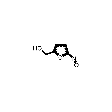 O=Nc1ccc(CO)o1